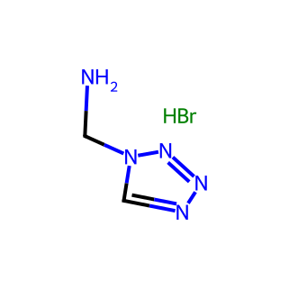 Br.NCn1cnnn1